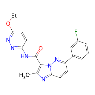 CCOc1ccc(NC(=O)c2c(C)nc3ccc(-c4cccc(F)c4)nn23)nn1